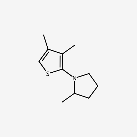 Cc1csc(N2CCCC2C)c1C